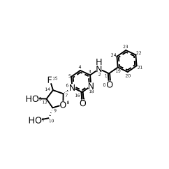 O=C(Nc1ccn([C@@H]2O[C@H](CO)C(O)C2F)c(=O)n1)c1ccccc1